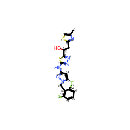 Cc1csc(C[C@H](O)c2nnc(Nc3ccn(Cc4c(F)cccc4F)n3)s2)n1